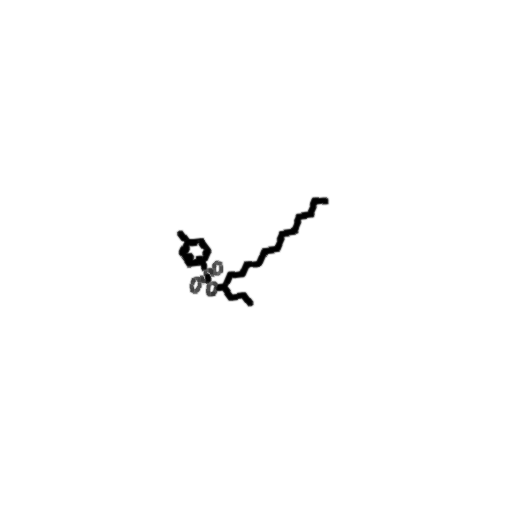 CCCCCCCCCCCCC(CCC)OS(=O)(=O)c1ccc(C)cc1